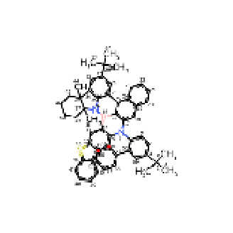 CC(C)(C)c1ccc(N2c3cc4c(cc3B3c5c2cc2ccccc2c5-c2cc(C(C)(C)C)cc5c2N3C2(C)CCCCC52C)sc2ccccc24)c(-c2ccccc2)c1